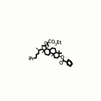 CCOC(=O)CC[C@@]12C(=O)C[C@H]([C@H](C)CCCC(C)C)[C@@]1(C)CCC1=C2CCC2C(C)(C)[C@@H](OC(=O)c3ccccc3)CC[C@]12C